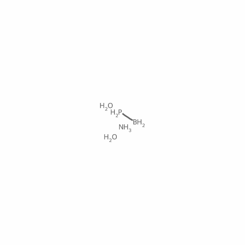 BP.N.O.O